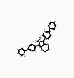 O=S1(=O)C(c2ccc(-c3ccccn3)nc2)=C2OCCOC2=C1c1ccc(-c2ccccn2)nc1